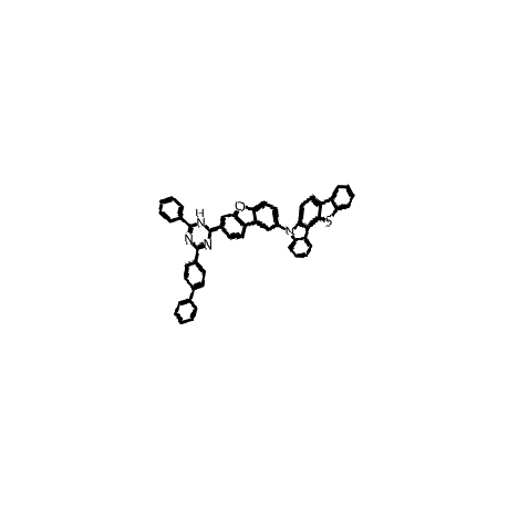 c1ccc(C2=NC(c3ccc(-c4ccccc4)cc3)=NC(c3ccc4c(c3)oc3ccc(-n5c6ccccc6c6c7sc8ccccc8c7ccc65)cc34)N2)cc1